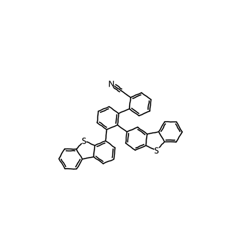 N#Cc1ccccc1-c1cccc(-c2cccc3c2sc2ccccc23)c1-c1ccc2sc3ccccc3c2c1